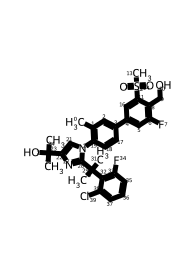 Cc1cc(-c2cc(F)c(CO)c(S(C)(=O)=O)c2)ccc1-n1cc(C(C)(C)O)nc1C(C)(C)c1c(F)cccc1Cl